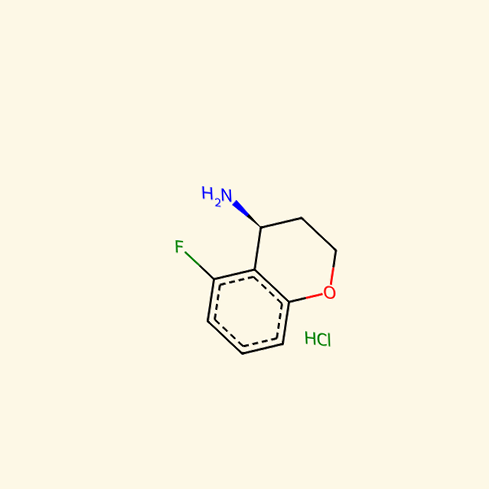 Cl.N[C@H]1CCOc2cccc(F)c21